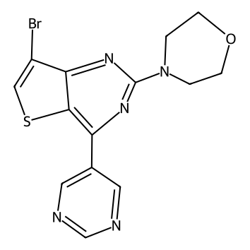 Brc1csc2c(-c3cncnc3)nc(N3CCOCC3)nc12